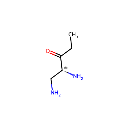 CCC(=O)[C@H](N)CN